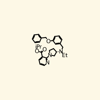 CCN(Cc1cccc(OCc2ccccc2)c1)[C@H]1CCN(c2ncccc2C(=O)OC(C)C)C1